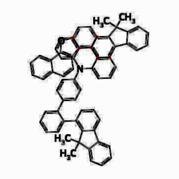 CC1(C)c2ccccc2-c2ccc(-c3ccccc3N(c3ccc(-c4ccccc4-c4cccc5c4C(C)(C)c4ccccc4-5)cc3)c3ccccc3-c3cccc4oc5c6ccccc6ccc5c34)cc21